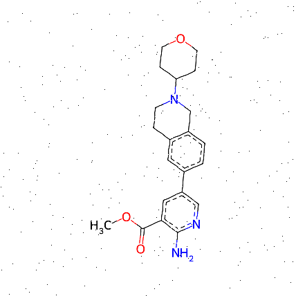 COC(=O)c1cc(-c2ccc3c(c2)CCN(C2CCOCC2)C3)cnc1N